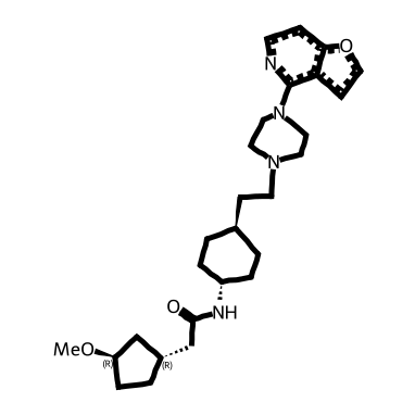 CO[C@@H]1CC[C@@H](CC(=O)N[C@H]2CC[C@H](CCN3CCN(c4nccc5occc45)CC3)CC2)C1